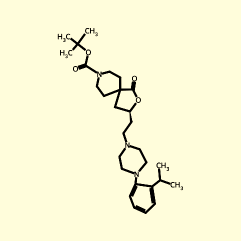 CC(C)c1ccccc1N1CCN(CC[C@H]2CC3(CCN(C(=O)OC(C)(C)C)CC3)C(=O)O2)CC1